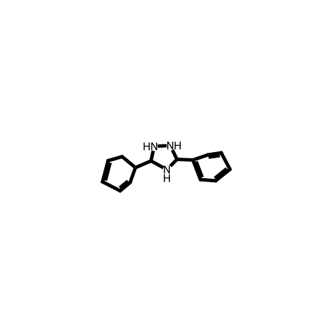 C1=CCC(C2NNC(c3ccccc3)N2)C=C1